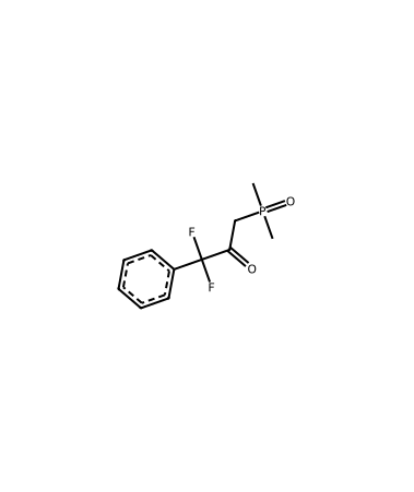 CP(C)(=O)CC(=O)C(F)(F)c1ccccc1